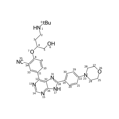 CC(C)(C)NCCC(CO)Oc1ccc(-c2ncnc3[nH]c(-c4ccc(N5CCOCC5)cc4)nc23)cc1C#N